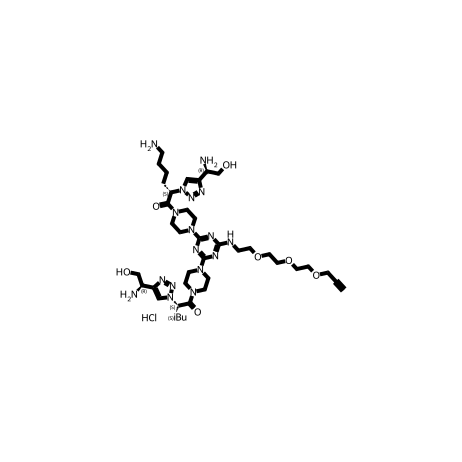 C#CCOCCOCCOCCNc1nc(N2CCN(C(=O)[C@H]([C@@H](C)CC)n3cc([C@@H](N)CO)nn3)CC2)nc(N2CCN(C(=O)[C@H](CCCCN)n3cc([C@@H](N)CO)nn3)CC2)n1.Cl